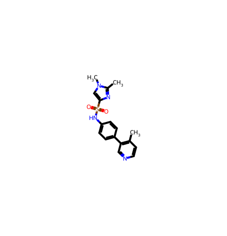 Cc1ccncc1-c1ccc(NS(=O)(=O)c2cn(C)c(C)n2)cc1